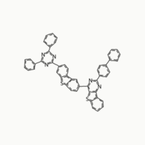 c1ccc(-c2ccc(-c3nc(-c4ccc5sc6cc(-c7nc(-c8ccccc8)nc(-c8ccccc8)n7)ccc6c5c4)c4sc5ccccc5c4n3)cc2)cc1